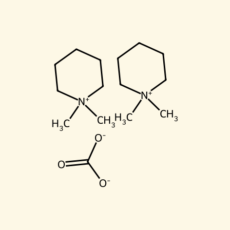 C[N+]1(C)CCCCC1.C[N+]1(C)CCCCC1.O=C([O-])[O-]